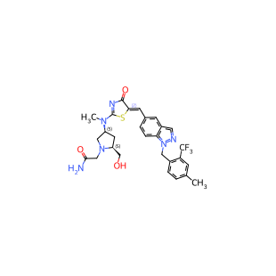 Cc1ccc(Cn2ncc3cc(/C=C4\SC(N(C)[C@H]5C[C@@H](CO)N(CC(N)=O)C5)=NC4=O)ccc32)c(C(F)(F)F)c1